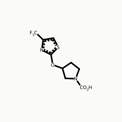 O=C(O)N1CCC(Oc2nc(C(F)(F)F)cs2)C1